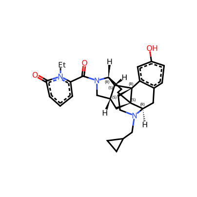 CCn1c(C(=O)N2C[C@H]3C[C@@]45CC[C@@H]2[C@@H]3[C@@]42CCN(CC3CC3)[C@@H]5Cc3ccc(O)cc32)cccc1=O